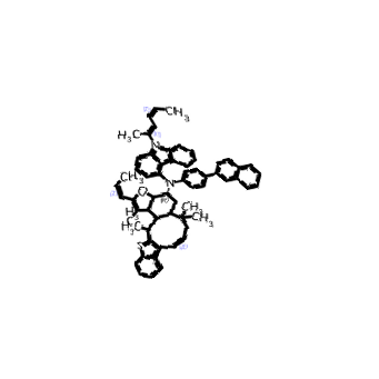 C/C=C\C=C(/C)n1c2ccccc2c2c(N(c3ccc(-c4ccc5ccccc5c4)cc3)[C@@H]3CC4C(C(C)c5sc6ccccc6c5/C=C\CC4(C)C)C4C(C)=C(/C=C\C)OC43)cccc21